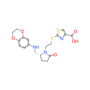 O=C(O)c1csc(SCCN2C(=O)CC[C@@H]2CNc2ccc3c(c2)OCCO3)n1